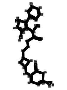 CCN(C(=O)CCCC1CN(CC2=CC=C(C(F)(F)F)CC2=O)C1)c1c(Cl)n[nH]c1-c1cccnc1